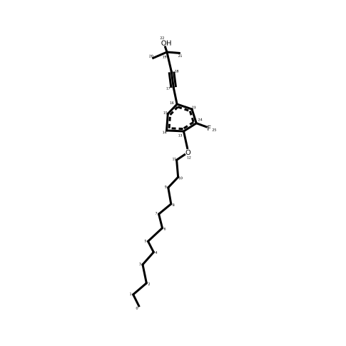 CCCCCCCCCCCCOc1ccc(C#CC(C)(C)O)cc1F